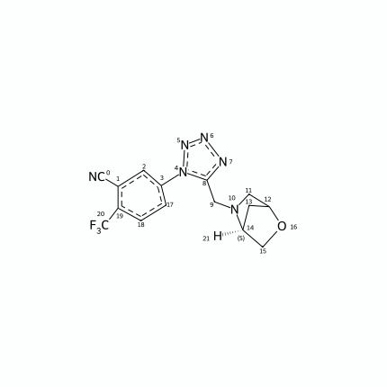 N#Cc1cc(-n2nnnc2CN2CC3C[C@H]2CO3)ccc1C(F)(F)F